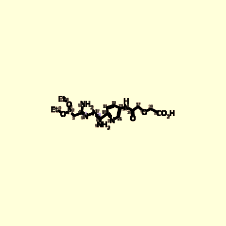 CCOP(C/C(N)=N/N=C(\N)c1ccc(NC(=O)COCC(=O)O)cn1)OCC